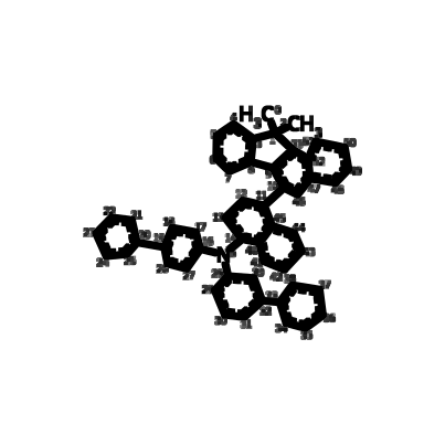 CC1(C)c2ccccc2-c2c(-c3ccc(N(c4ccc(-c5ccccc5)cc4)c4cccc(-c5ccccc5)c4)c4ccccc34)cc3ccccc3c21